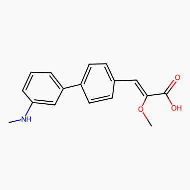 CNc1cccc(-c2ccc(C=C(OC)C(=O)O)cc2)c1